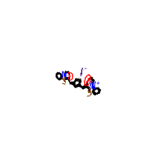 C1=C(C=C2OCC[n+]3c2sc2ccccc23)CCC1=CC1=C2Sc3ccccc3N2CCO1.[I-]